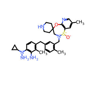 Cc1cnc2c(c1)[S+]([O-])N(Cc1cc(Cc3ccc(N(N)C4CC4)c(N)c3C)ccc1C)CC1(CCNCC1)O2